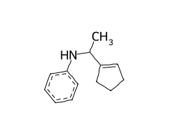 CC(Nc1ccccc1)C1=CCCC1